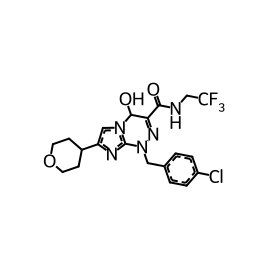 O=C(NCC(F)(F)F)C1=NN(Cc2ccc(Cl)cc2)c2nc(C3CCOCC3)cn2C1O